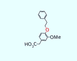 COc1cc(CC(=O)O)ccc1OCCc1ccccc1